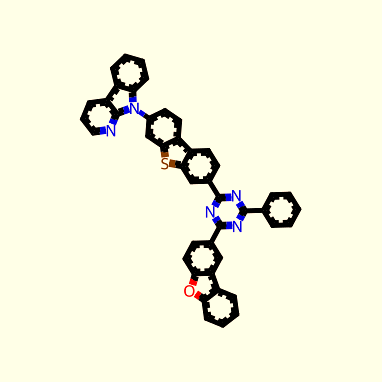 c1ccc(-c2nc(-c3ccc4c(c3)sc3cc(-n5c6ccccc6c6cccnc65)ccc34)nc(-c3ccc4oc5ccccc5c4c3)n2)cc1